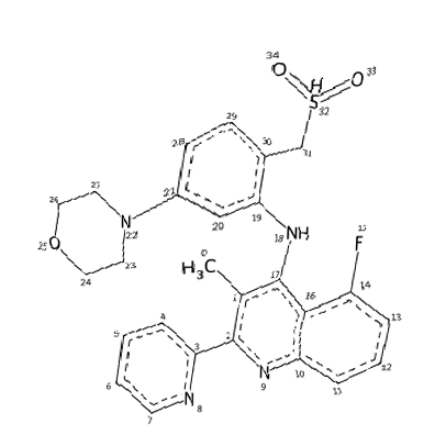 Cc1c(-c2ccccn2)nc2cccc(F)c2c1Nc1cc(N2CCOCC2)ccc1C[SH](=O)=O